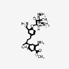 CCC(CCc1ccc(OC(NC)C(=O)C(C)(NC)NC)c(CN)c1)c1ccc(C(=O)OC)c(CN)c1